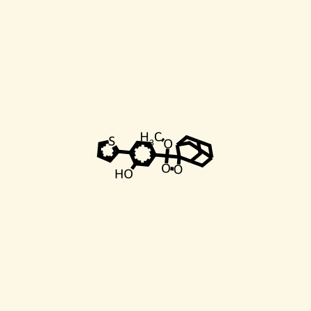 COC1(c2ccc(-c3cccs3)c(O)c2)OOC12C1CC3CC(C1)CC2C3